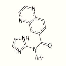 CCCN(C(=O)c1ccc2nccnc2c1)c1ncc[nH]1